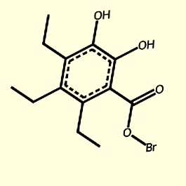 CCc1c(O)c(O)c(C(=O)OBr)c(CC)c1CC